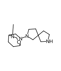 CN1CCC2CCC1CN2N1CCC2(CCNC2)C1